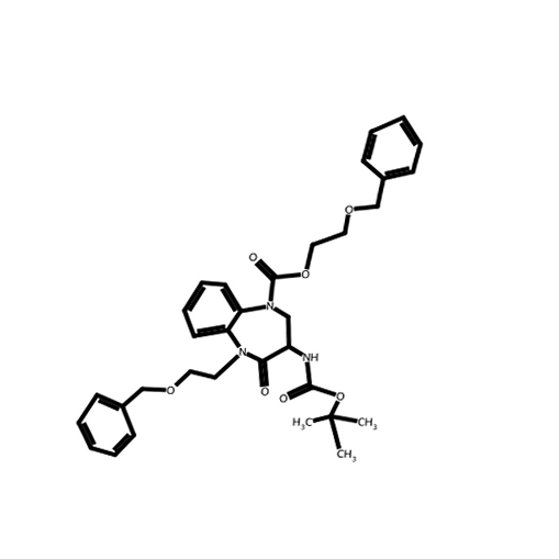 CC(C)(C)OC(=O)NC1CN(C(=O)OCCOCc2ccccc2)c2ccccc2N(CCOCc2ccccc2)C1=O